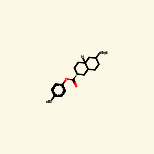 CCCCCCCC1CCC2C[C@H](C(=O)Oc3ccc(CCCC)cc3)CC[C@@H]2C1